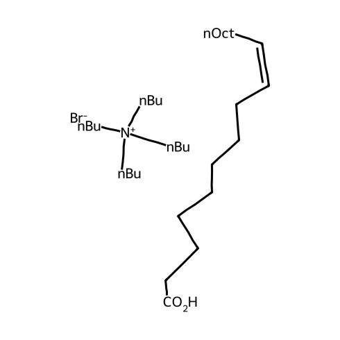 CCCCCCCC/C=C\CCCCCCCC(=O)O.CCCC[N+](CCCC)(CCCC)CCCC.[Br-]